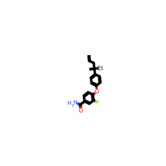 C=CCC(C)(CC)c1ccc(Oc2ccc(C(N)=O)cc2F)cc1